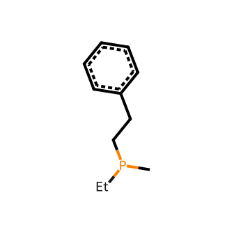 CCP(C)CCc1ccccc1